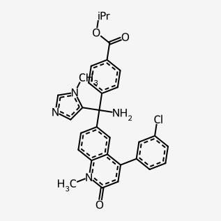 CC(C)OC(=O)c1ccc(C(N)(c2ccc3c(c2)c(-c2cccc(Cl)c2)cc(=O)n3C)c2cncn2C)cc1